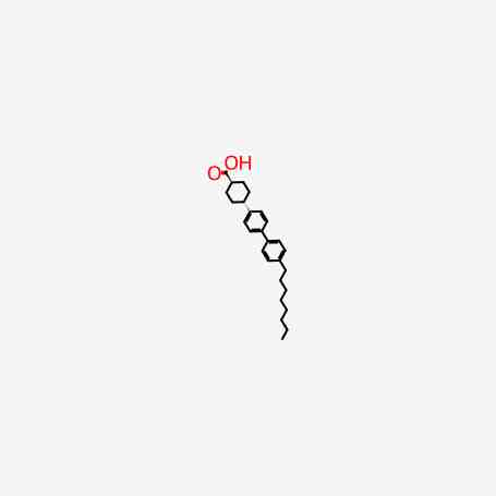 CCCCCCCCc1ccc(-c2ccc([C@H]3CC[C@H](C(=O)O)CC3)cc2)cc1